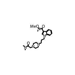 CON(C)C(=O)c1cn(CCCN2CCN(CC(=O)N(C)C)CC2)c2ccccc12